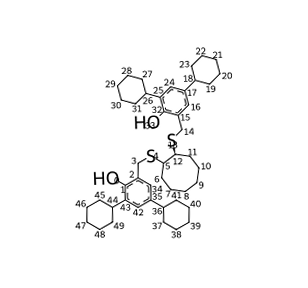 Oc1c(CSC2CCCCCC[C@@H]2SCc2cc(C3CCCCC3)cc(C3CCCCC3)c2O)cc(C2CCCCC2)cc1C1CCCCC1